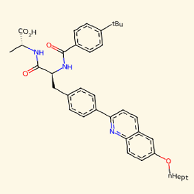 CCCCCCCOc1ccc2nc(-c3ccc(C[C@H](NC(=O)c4ccc(C(C)(C)C)cc4)C(=O)N[C@H](C)C(=O)O)cc3)ccc2c1